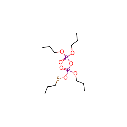 CCCOP(=O)(OCCC)OP(=O)(OCCC)OSCCC